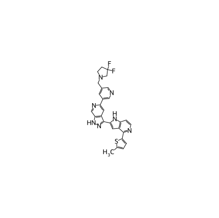 Cc1ccc(-c2nccc3[nH]c(-c4n[nH]c5cnc(-c6cncc(CN7CCC(F)(F)C7)c6)cc45)cc23)s1